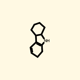 C1=CC2=C(CC1)NC1CCCCC21